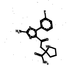 NC(=O)C1([CH]C(=O)c2nc(N)sc2-c2cccc(F)c2)CCCN1